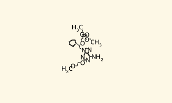 CCOP(=O)(COC(Cn1cnc2c(N)nc(OCCOC)nc21)c1ccccc1)OCC